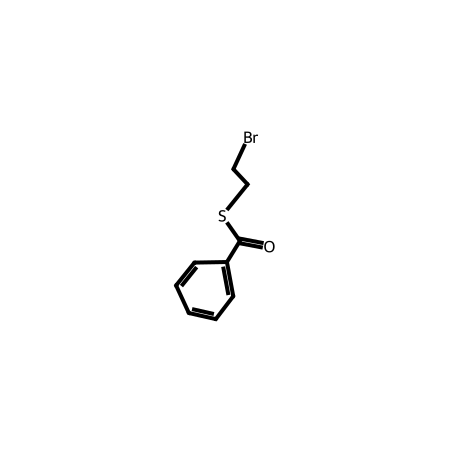 O=C(SCCBr)c1ccccc1